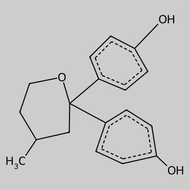 CC1CCOC(c2ccc(O)cc2)(c2ccc(O)cc2)C1